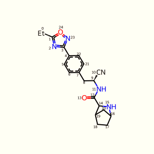 CCc1nc(-c2ccc(C[C@@H](C#N)NC(=O)C3NC4CCC3C4)cc2)no1